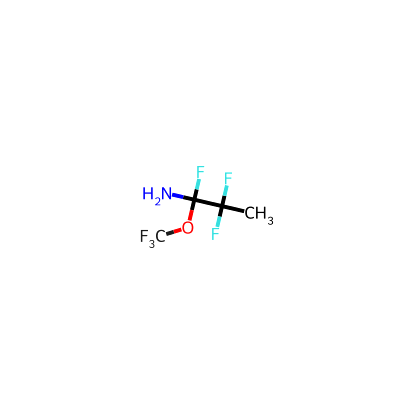 CC(F)(F)C(N)(F)OC(F)(F)F